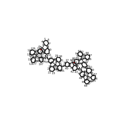 CC1(C)c2ccccc2-c2ccc(N(c3ccc4c(c3)-c3ccccc3C43c4ccccc4-c4c(-c5ccc6c(c5)-c5ccc(N(c7ccc8c(c7)C7(c9ccccc9-c9ccccc97)c7ccccc7-8)c7cccc8c7-c7ccccc7C8(c7ccccc7)c7ccccc7)cc5C6(C)C)cccc43)c3cccc4c3-c3ccccc3C4(c3ccccc3)c3ccccc3)cc21